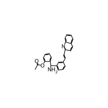 CC(=O)Oc1ccccc1C(N)c1cccc(/C=C/c2ccc3ccccc3n2)c1